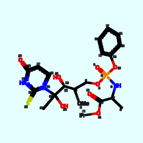 COC(COP(=O)(NC(C)C(=O)OC(C)C)Oc1ccccc1)[C@H](O)C(C)(O)n1ccc(=O)[nH]c1=S